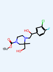 CC(C)(C)OC(=O)N1CCN(CC(O)c2ccc(F)c(Cl)c2)C(C)(CO)C1